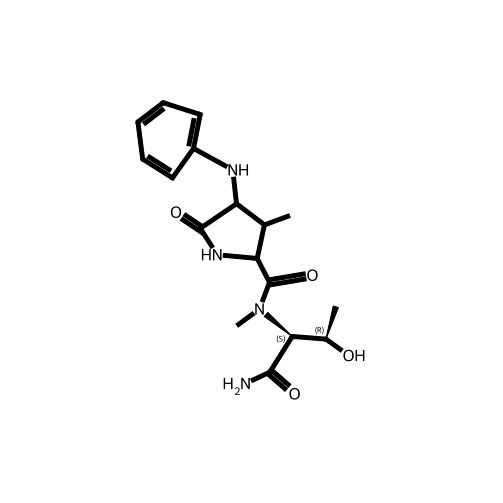 CC1C(Nc2ccccc2)C(=O)NC1C(=O)N(C)[C@H](C(N)=O)[C@@H](C)O